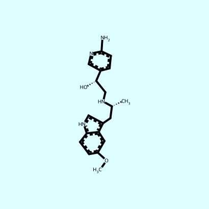 COc1ccc2[nH]cc(C[C@@H](C)NC[C@H](O)c3ccc(N)nc3)c2c1